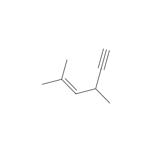 C#CC(C)C=C(C)C